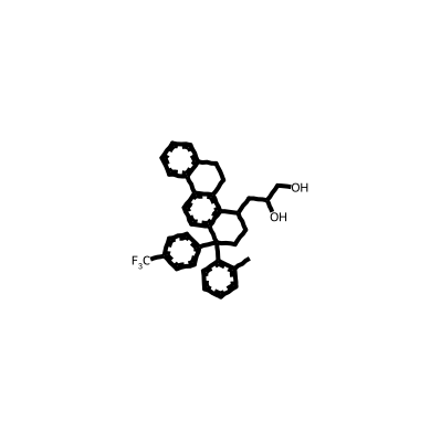 Cc1ccccc1C1(c2ccc(C(F)(F)F)cc2)CCC(CC(O)CO)c2c1ccc1c2CCc2ccccc2-1